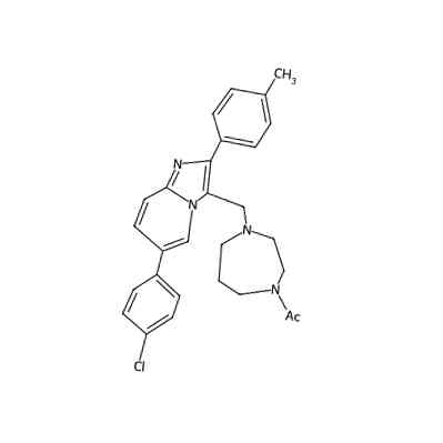 CC(=O)N1CCCN(Cc2c(-c3ccc(C)cc3)nc3ccc(-c4ccc(Cl)cc4)cn23)CC1